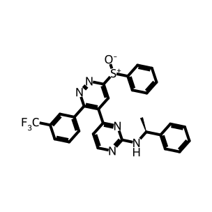 C[C@H](Nc1nccc(-c2cc([S+]([O-])c3ccccc3)nnc2-c2cccc(C(F)(F)F)c2)n1)c1ccccc1